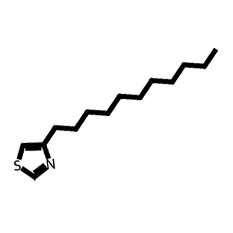 CCCCCCCCCCCc1cs[c]n1